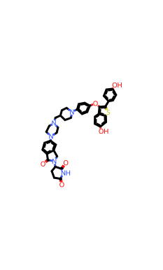 O=C1CCC(N2Cc3cc(N4CCN(CC5CCN(c6ccc(Oc7c(-c8ccc(O)cc8)sc8cc(O)ccc78)cc6)CC5)CC4)ccc3C2=O)C(=O)N1